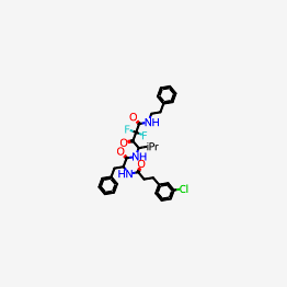 CC(C)C(NC(=O)C(Cc1ccccc1)NC(=O)CCc1cccc(Cl)c1)C(=O)C(F)(F)C(=O)NCCc1ccccc1